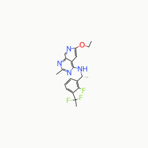 CCOc1cc2c(N[C@H](C)c3cccc(C(C)(F)F)c3F)nc(C)nc2cn1